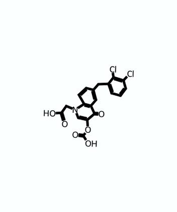 O=C(O)Cn1cc(OC(=O)O)c(=O)c2cc(Cc3cccc(Cl)c3Cl)ccc21